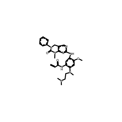 C=CC(=O)Nc1cc(Nc2ncc3c(n2)N(C)C(=O)N(c2ccccc2)C3)c(OC)cc1N(C)CCN(C)C